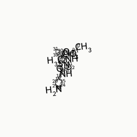 CCCOC(=O)NC(C(=S)N1CCCC1C(=O)NCC1CCC(N)CC1)C(C)(C)C1CCC1